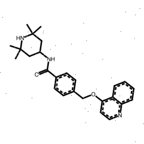 CC1(C)CC(NC(=O)c2ccc(COc3ccnc4ccccc34)cc2)CC(C)(C)N1